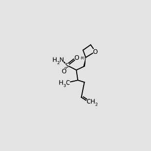 C=CCC(C)C(C[C@H]1CCO1)S(N)(=O)=O